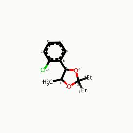 [CH2]C1OC(CC)(CC)OC1c1ccccc1Cl